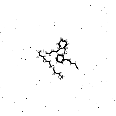 CCCCc1ccccc1Oc1ccccc1CCCC.OCCOCCOCCO